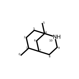 CC1CCC2(C)CC1CCN2